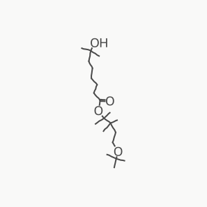 CC(C)(O)CCCCCC(=O)OC(C)(C)C(C)(C)CCOC(C)(C)C